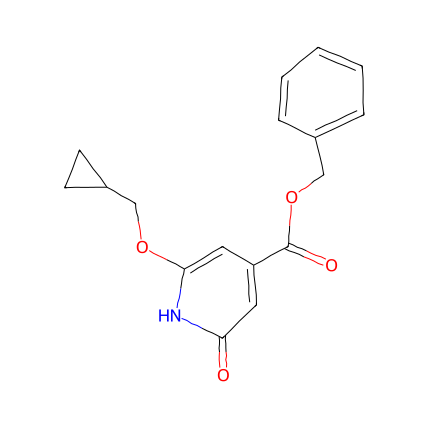 O=C(OCc1ccccc1)c1cc(OCC2CC2)[nH]c(=O)c1